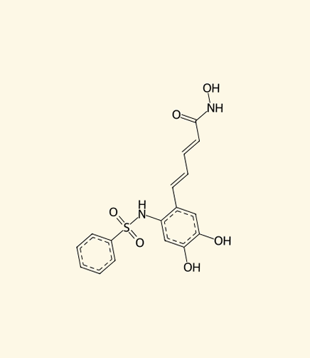 O=C(C=CC=Cc1cc(O)c(O)cc1NS(=O)(=O)c1ccccc1)NO